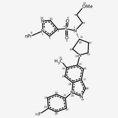 CCCn1cc(S(=O)(=O)N(CCOC)[C@@H]2CCN(c3cc4cnn(-c5ccc(F)cc5)c4cc3C)C2)cn1